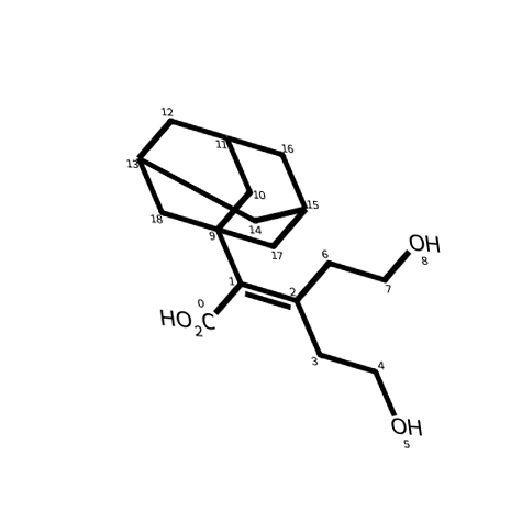 O=C(O)C(=C(CCO)CCO)C12CC3CC(CC(C3)C1)C2